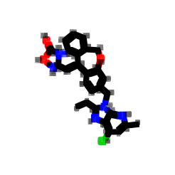 CCc1nc2c(Cl)cc(C)nc2n1Cc1ccc2c(c1)OCc1ccccc1/C2=C\c1noc(=O)[nH]1